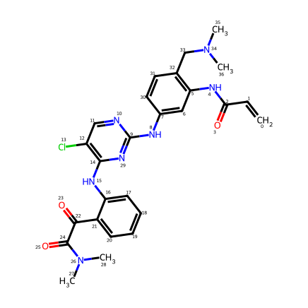 C=CC(=O)Nc1cc(Nc2ncc(Cl)c(Nc3ccccc3C(=O)C(=O)N(C)C)n2)ccc1CN(C)C